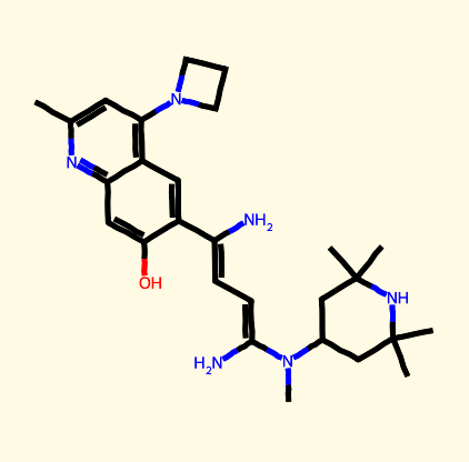 Cc1cc(N2CCC2)c2cc(/C(N)=C/C=C(\N)N(C)C3CC(C)(C)NC(C)(C)C3)c(O)cc2n1